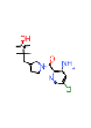 CC(C)(CC1CCN(C(=O)c2ncc(Cl)cc2N)C1)[Si](C)(C)O